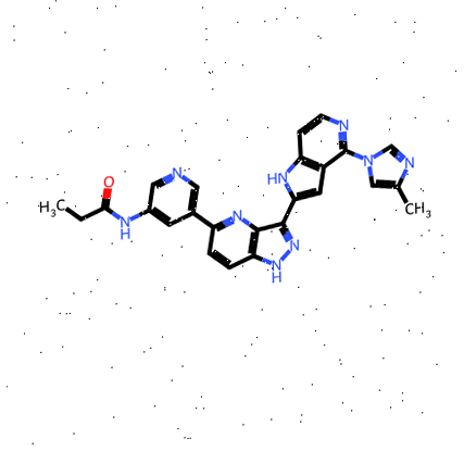 CCC(=O)Nc1cncc(-c2ccc3[nH]nc(-c4cc5c(-n6cnc(C)c6)nccc5[nH]4)c3n2)c1